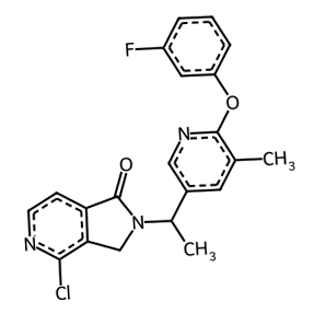 Cc1cc(C(C)N2Cc3c(ccnc3Cl)C2=O)cnc1Oc1cccc(F)c1